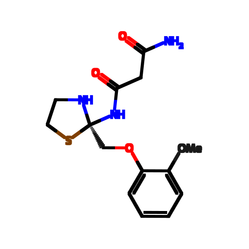 COc1ccccc1OC[C@@]1(NC(=O)CC(N)=O)NCCS1